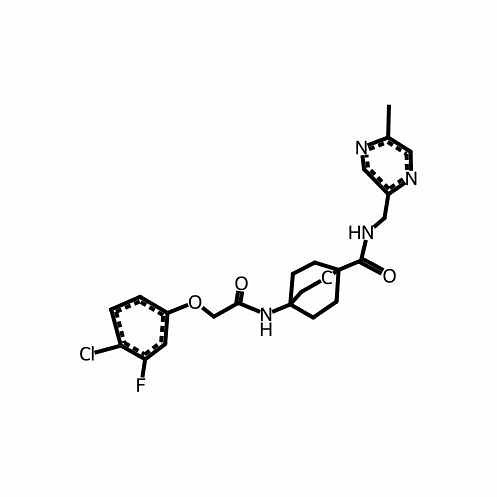 Cc1cnc(CNC(=O)C23CCC(NC(=O)COc4ccc(Cl)c(F)c4)(CC2)CC3)cn1